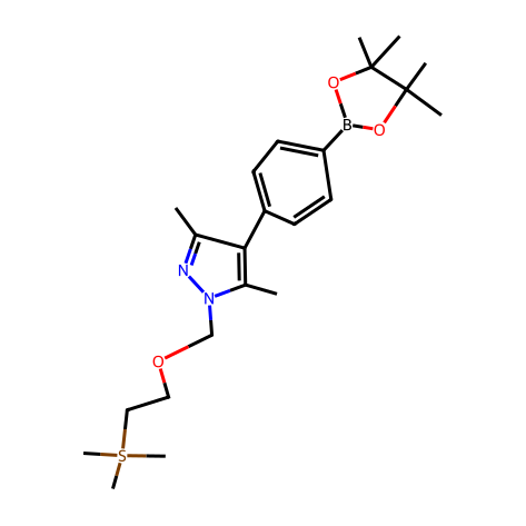 Cc1nn(COCCS(C)(C)C)c(C)c1-c1ccc(B2OC(C)(C)C(C)(C)O2)cc1